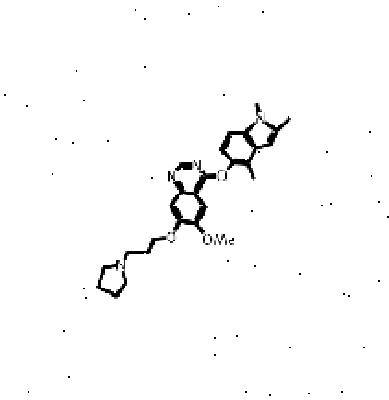 COc1cc2c(Oc3ccc4c(cc(C)n4C)c3C)ncnc2cc1OCCCN1CCCC1